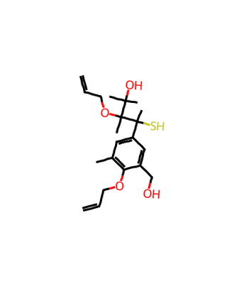 C=CCOc1c(C)cc(C(C)(S)C(C)(OCC=C)C(C)(C)O)cc1CO